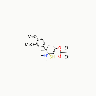 CCC(C)(CC)C(=O)OC1=C[C@]2(S)N(C)CC[C@]2(c2ccc(OC)c(OC)c2)CC1